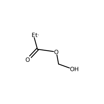 C[CH]C(=O)OCO